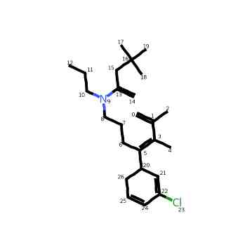 C=C(C)/C(C)=C(\CCCN(CCC)C(=C)CC(C)(C)C)C1C=C(Cl)C=CC1